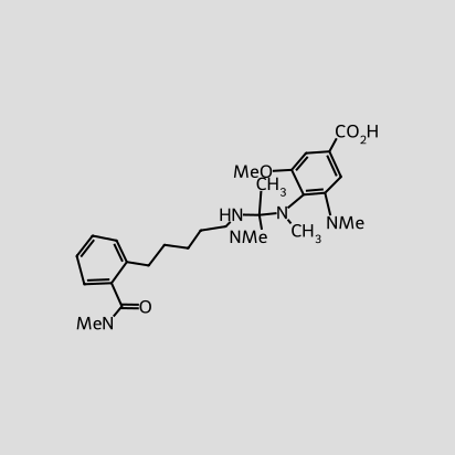 CNC(=O)c1ccccc1CCCCCNC(C)(NC)N(C)c1c(NC)cc(C(=O)O)cc1OC